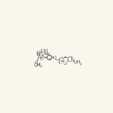 CCCCS(=O)(=O)C(N)(Cc1ccc(OCC2CN(CC3CCN(C)CC3)C(=O)O2)cc1)C(=O)O